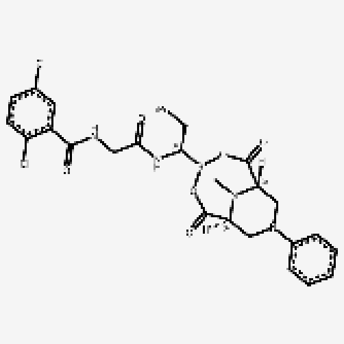 CC(C)C[C@H](NC(=O)CNC(=O)c1cc(Cl)ccc1Cl)B1OC(=O)[C@@H]2CN(c3ccccc3)C[C@@H](C(=O)O1)N2C